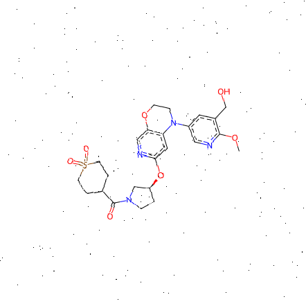 COc1ncc(N2CCOc3cnc(O[C@H]4CCN(C(=O)C5CCS(=O)(=O)CC5)C4)cc32)cc1CO